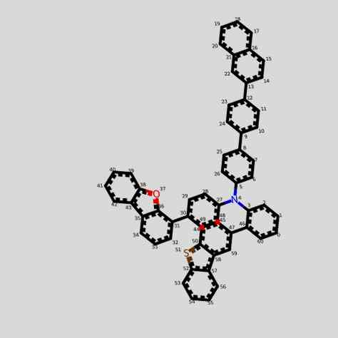 c1ccc(N(c2ccc(-c3ccc(-c4ccc5ccccc5c4)cc3)cc2)c2ccc(-c3cccc4c3oc3ccccc34)cc2)c(-c2ccc3sc4ccccc4c3c2)c1